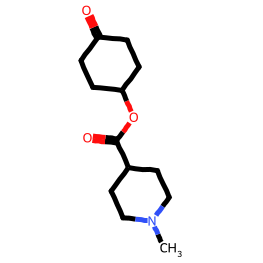 CN1CCC(C(=O)OC2CCC(=O)CC2)CC1